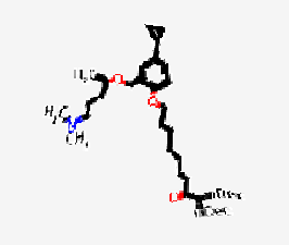 C=C(CCCN(C)C)OCc1cc(C2CC2)ccc1OCCCCCCCC(=O)C(CCCCCCCCCC)CCCCCCCCCC